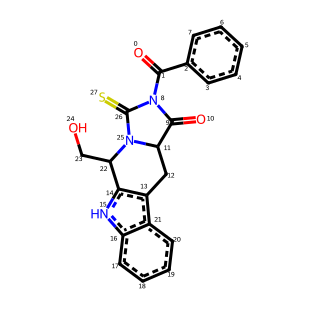 O=C(c1ccccc1)N1C(=O)C2Cc3c([nH]c4ccccc34)C(CO)N2C1=S